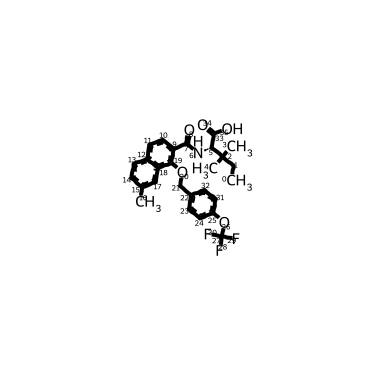 CCC(C)(C)[C@H](NC(=O)c1ccc2ccc(C)cc2c1OCc1ccc(OC(F)(F)F)cc1)C(=O)O